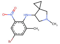 Cc1cc(Br)cc([N+](=O)[O-])c1NC1CN(C)CC12CC2